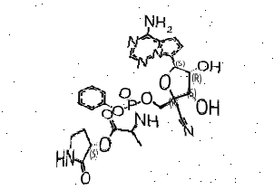 CC(NP(=O)(OC[C@@]1(C#N)O[C@@H](c2ccc3c(N)ncnn23)[C@H](O)[C@@H]1O)Oc1ccccc1)C(=O)O[C@H]1CCNC1=O